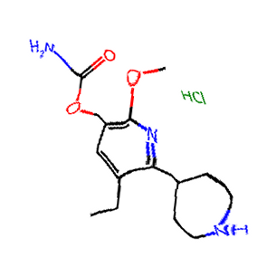 CCc1cc(OC(N)=O)c(OC)nc1C1CCNCC1.Cl